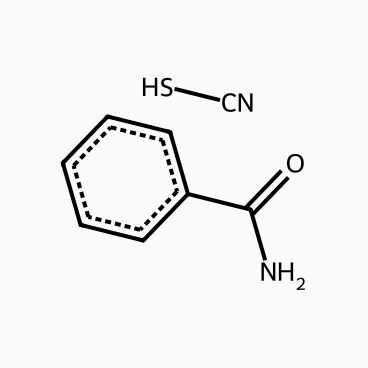 N#CS.NC(=O)c1ccccc1